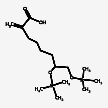 C=C(CCCCC(CO[Si](C)(C)C)O[Si](C)(C)C)C(=O)O